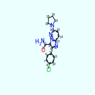 NC(=O)c1c(-c2ccc(Cl)cc2)nc2ccc(N3CCCC3)nn12